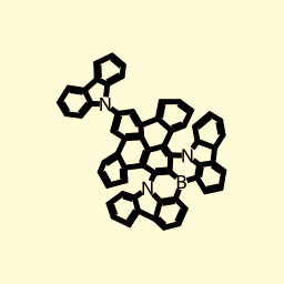 C1=CC2c3cccc4c3N(c3c5c(c6c7ccccc7c7cc(-n8c9ccccc9c9ccccc98)cc8c9ccccc9c3c6c87)-n3c6ccccc6c6cccc(c63)B45)C2C=C1